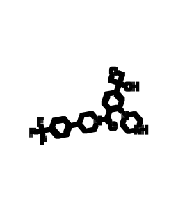 O=C(c1ccc(C2(O)COC2)cc1N1CCNCC1)N1CCC(c2ccc(C(F)(F)F)cc2)CC1